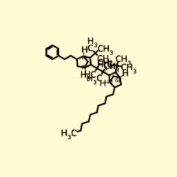 CCCCCCCCCCC1C[C@H]2C[C@@H]1C(C(C)(C)C(C)(C)C1C(C(C)(C)C)[C@H]3C[C@@H]1CC3CCc1ccccc1)C2C(C)(C)C